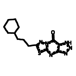 O=c1c2[nH]nnc2nc2sc(CCCC3CCCCC3)nn12